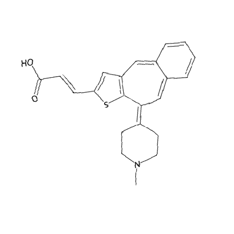 CN1CCC(=C2C=c3ccccc3=Cc3cc(C=CC(=O)O)sc32)CC1